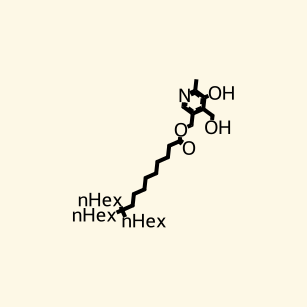 CCCCCCC(CCCCCC)(CCCCCC)CCCCCCCCC(=O)OCc1cnc(C)c(O)c1CO